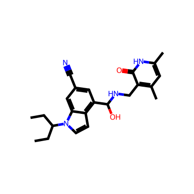 CCC(CC)n1ccc2c(C(O)NCc3c(C)cc(C)[nH]c3=O)cc(C#N)cc21